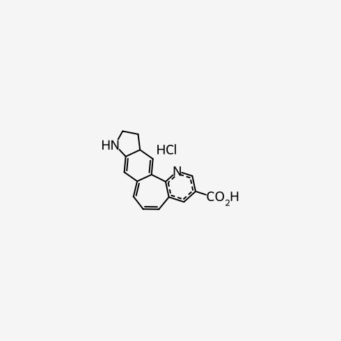 Cl.O=C(O)c1cnc2c(c1)C=CC=C1C=C3NCCC3C=C12